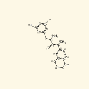 CN(C(=O)C(N)Cc1cc(F)cc(F)c1)c1ccc2c(c1)OCCO2